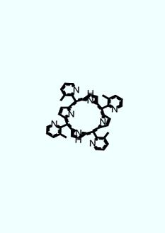 Cc1cccnc1-c1c2nc(c(-c3ncccc3C)c3ccc([nH]3)c(-c3ncccc3C)c3nc(c(-c4ncccc4C)c4ccc1[nH]4)C=C3)C=C2